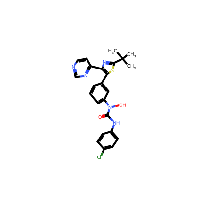 CC(C)(C)c1nc(-c2ccncn2)c(-c2cccc(N(O)C(=O)Nc3ccc(Cl)cc3)c2)s1